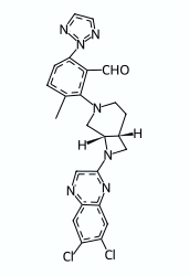 Cc1ccc(-n2nccn2)c(C=O)c1N1CC[C@@H]2CN(c3cnc4cc(Cl)c(Cl)cc4n3)[C@@H]2C1